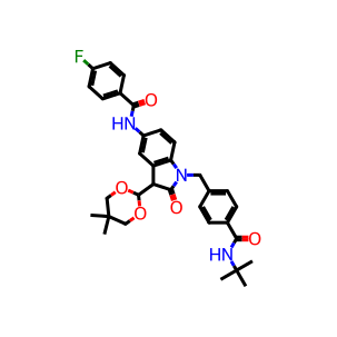 CC1(C)COC(C2C(=O)N(Cc3ccc(C(=O)NC(C)(C)C)cc3)c3ccc(NC(=O)c4ccc(F)cc4)cc32)OC1